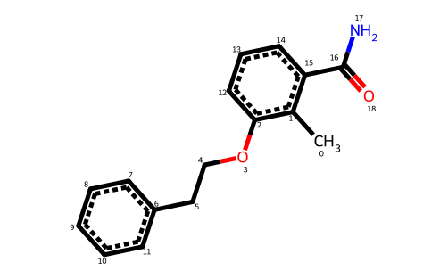 Cc1c(OCCc2ccccc2)cccc1C(N)=O